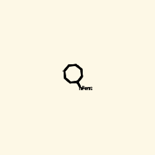 CCCCCC1CC[CH]CCCC1